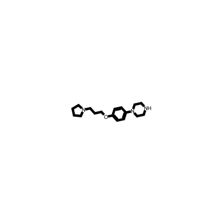 c1cc(N2CCNCC2)ccc1OCCCN1CCCC1